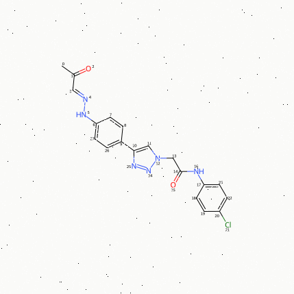 CC(=O)/C=N/Nc1ccc(-c2cn(CC(=O)Nc3ccc(Cl)cc3)nn2)cc1